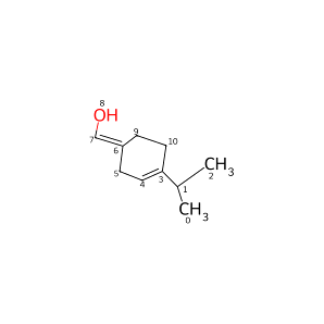 CC(C)C1=CCC(=CO)CC1